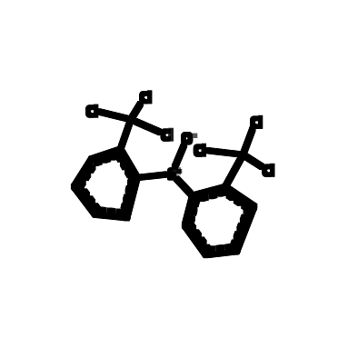 [O-][S+](c1ccccc1C(Cl)(Cl)Cl)c1ccccc1C(Cl)(Cl)Cl